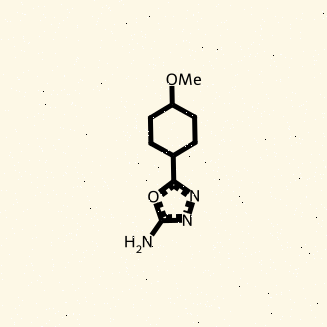 COC1CCC(c2nnc(N)o2)CC1